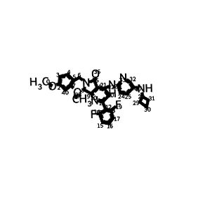 COc1ccc(CN2Cc3nc(-c4c(F)cccc4F)cc(Nc4ccc(NC5CCC5)cn4)c3C2=O)c(OC)c1